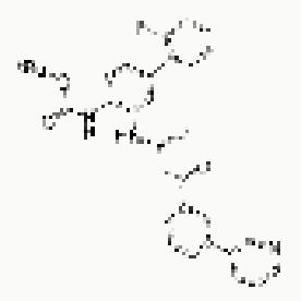 CC(C)(C)OC(=O)Nc1ccc(-c2ccccc2F)cc1NC(=O)CC(=O)c1cccc(-c2cccnc2)c1